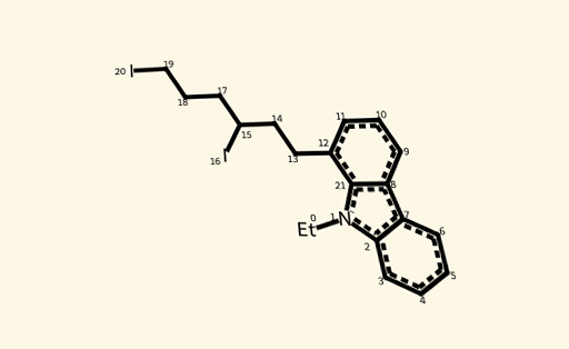 CCn1c2ccccc2c2cccc(CCC(I)CCCI)c21